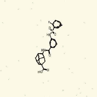 O=C(NC1C2CC3CC1CC(C(=O)O)(C3)C2)c1cccc(NS(=O)(=O)c2ccccc2F)c1